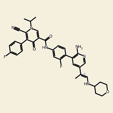 C/C(=C\NC1CCOCC1)c1cnc(N)c(-c2ccc(NC(=O)c3cn(C(C)C)c(C#N)c(-c4ccc(F)cc4)c3=O)cc2F)c1